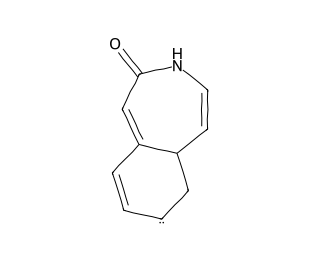 O=C1C=C2C=C[C]CC2C=CN1